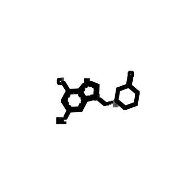 N#Cc1cc(Cl)c2ncn(C[C@H]3CCCC(=O)C3)c2c1